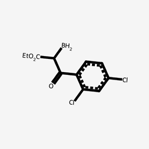 BC(C(=O)OCC)C(=O)c1ccc(Cl)cc1Cl